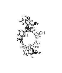 CCn1c(-c2cccnc2[C@H](C)OC)c2c3cc(ccc31)-c1cc(O)cc(c1)C[C@H](NC(=O)[C@H](C(C)C)N(C)C(=O)C1CCNC13COC3)C(=O)N1CCC[C@H](N1)C(=O)OCC(C)(C)C2